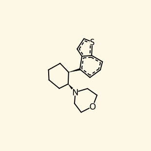 c1cc([C@@H]2CCCC[C@@H]2N2CCOCC2)c2ccsc2c1